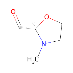 CN1CCO[C@H]1C=O